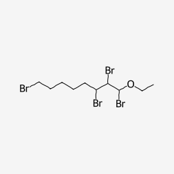 CCOC(Br)C(Br)C(Br)CCCCCBr